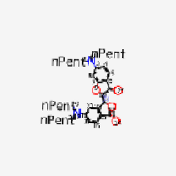 CCCCCN(CCCCC)c1ccc2c(c1)O/C(=C1/OC(=O)c3ccc(N(CCCCC)CCCCC)cc31)C2=O